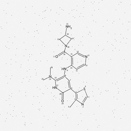 Cc1ncsc1-c1cc(Nc2ccncc2C(=O)N2CC(N)C2)c(N(C)C)[nH]c1=O